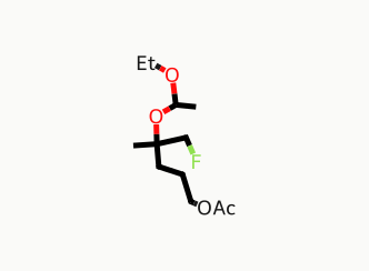 CCOC(C)OC(C)(CF)CCCOC(C)=O